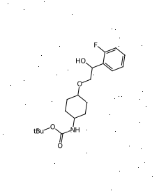 CC(C)(C)OC(=O)NC1CCC(OCC(O)c2ccccc2F)CC1